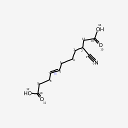 N#CC(CCC/C=C/CCC(=O)O)CC(=O)O